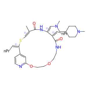 CCC/C=C1\C(=O)NCCOCCOc2cc(ccn2)/C(=C\CCC)S/C=C(\C)C(=O)N\C1=C\N(C)CC1CCN(C)CC1